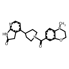 CN1CCOc2cc(C(=O)N3CCC(c4ccnc5c4CC(=O)N5)CC3)ccc21